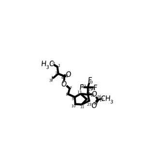 CCC(I)C(=O)OCCC1CC2CC1C(OC(C)=O)(C(F)(F)F)C2